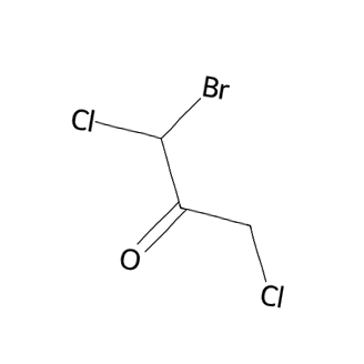 O=C(CCl)C(Cl)Br